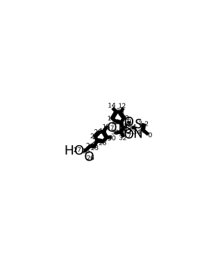 Cc1csc(S(=O)(=O)N(c2cc(C)c(C)cc2OCc2ccc(C=CC(=O)O)cc2C)C(C)C)n1